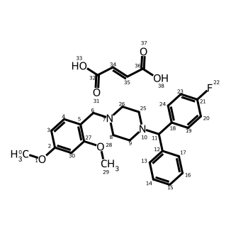 COc1ccc(CN2CCN(C(c3ccccc3)c3ccc(F)cc3)CC2)c(OC)c1.O=C(O)/C=C/C(=O)O